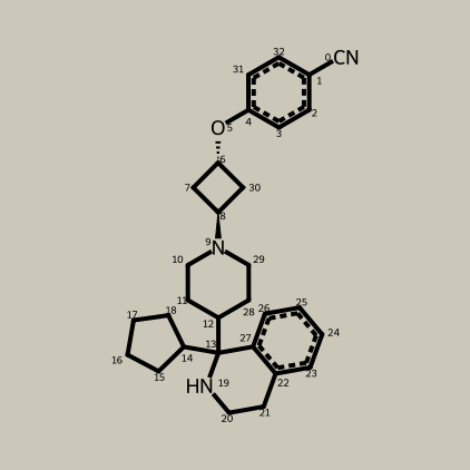 N#Cc1ccc(O[C@H]2C[C@H](N3CCC(C4(C5CCCC5)NCCc5ccccc54)CC3)C2)cc1